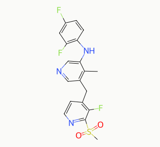 Cc1c(Cc2ccnc(S(C)(=O)=O)c2F)cncc1Nc1ccc(F)cc1F